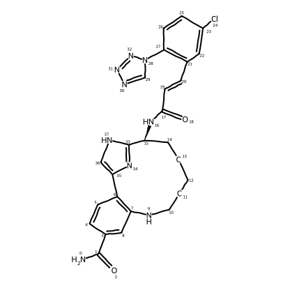 NC(=O)c1ccc2c(c1)NCCCCC[C@H](NC(=O)/C=C/c1cc(Cl)ccc1-n1cnnn1)c1nc-2c[nH]1